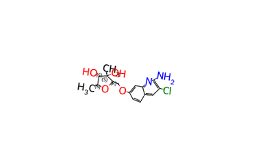 C[C@@H]1O[C@H](COc2ccc3cc(Cl)c(N)nc3c2)[C@@](C)(O)[C@H]1O